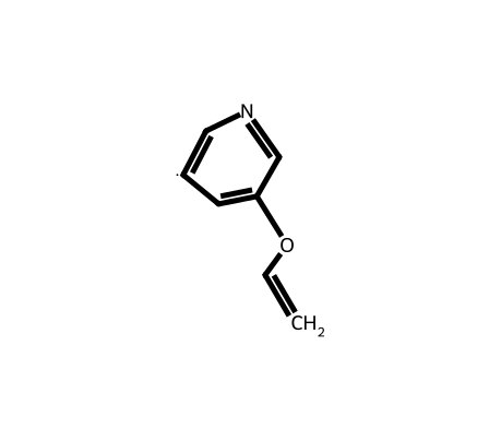 C=COc1c[c]cnc1